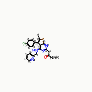 CNC(=O)Cc1nc(NCc2ccccn2)c2c(-c3ccc(F)cc3)c(C)sc2n1